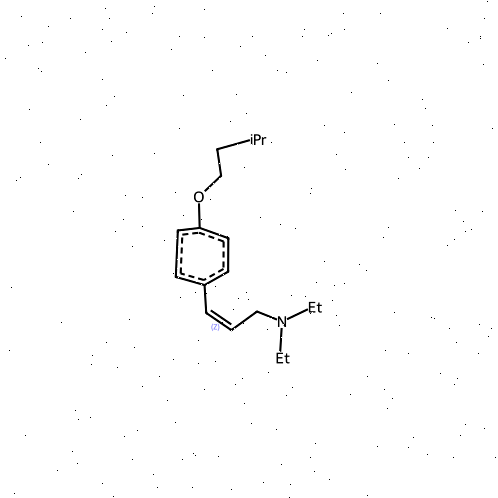 CCN(CC)C/C=C\c1ccc(OCCC(C)C)cc1